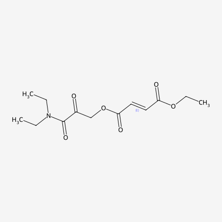 CCOC(=O)/C=C/C(=O)OCC(=O)C(=O)N(CC)CC